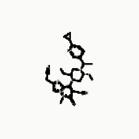 CCC1CN(C(C)c2ccc(C3CC3)nc2)[C@H](CC)CN1c1c(C#N)c(=O)n(C)n2cc(CC#N)nc12